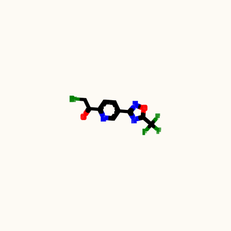 O=C(CBr)c1ccc(-c2noc(C(F)(F)F)n2)cn1